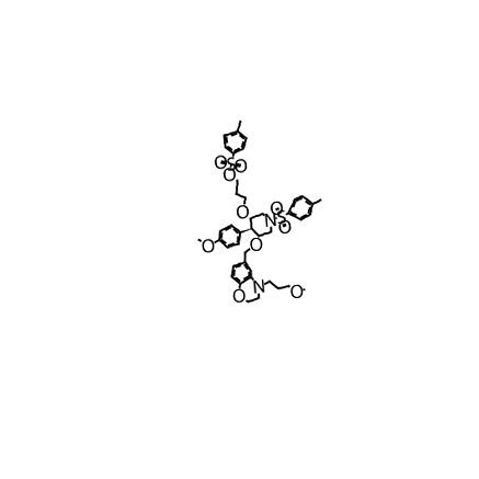 COCCCN1CCOc2ccc(CO[C@H]3CN(S(=O)(=O)c4ccc(C)cc4)C[C@@H](OCCCOS(=O)(=O)c4ccc(C)cc4)[C@@H]3c3ccc(OC)cc3)cc21